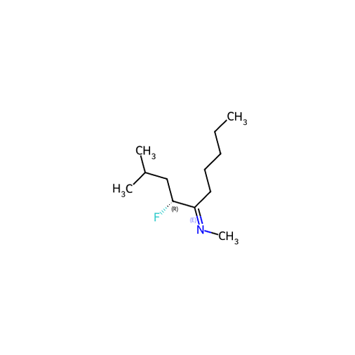 CCCCC/C(=N\C)[C@H](F)CC(C)C